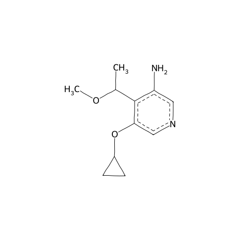 COC(C)c1c(N)cncc1OC1CC1